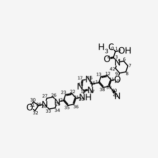 CC(O)C(=O)N1CCCC(Oc2ccc(-c3ncnc(Nc4ccc(N5CCN(C6COC6)CC5)cc4)n3)cc2C#N)C1